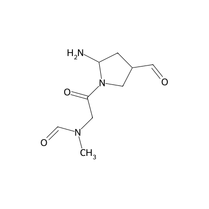 CN(C=O)CC(=O)N1CC(C=O)CC1N